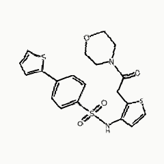 O=C(Cc1sccc1NS(=O)(=O)c1ccc(-c2cccs2)cc1)N1CCOCC1